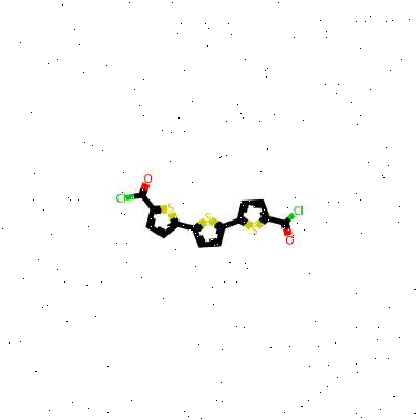 O=C(Cl)c1ccc(-c2ccc(-c3ccc(C(=O)Cl)s3)s2)s1